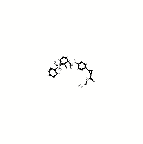 CCOC(=O)C1CC1c1ccc(O[C@@H]2CCc3c2cccc3S(=O)(=O)c2ccccc2)cc1